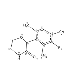 Cc1cc(C#N)c(F)c(C)c1C1OCCNC1=O